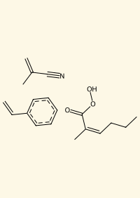 C=C(C)C#N.C=Cc1ccccc1.CCCC=C(C)C(=O)OO